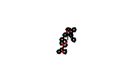 c1ccc(-c2cc(-c3ccccc3-c3ccccn3)nc(-c3cccc(-c4ccc5ccc6c(-c7cc8ccccc8c8ccccc78)ccc7ccc4c5c76)c3)n2)cc1